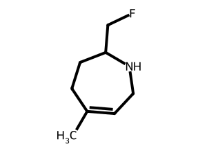 CC1=CCNC(CF)CC1